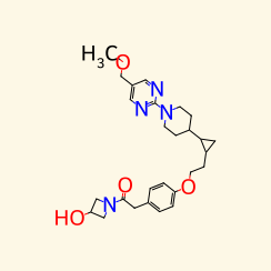 COCc1cnc(N2CCC(C3CC3CCOc3ccc(CC(=O)N4CC(O)C4)cc3)CC2)nc1